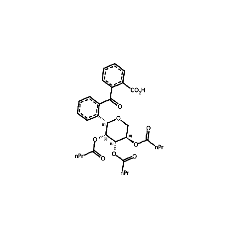 CCCC(=O)O[C@@H]1[C@H](OC(=O)CCC)[C@H](c2ccccc2C(=O)c2ccccc2C(=O)O)OC[C@H]1OC(=O)CCC